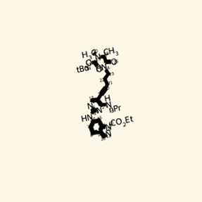 CCCNc1nc(Nc2ccc3cnn(C(=O)OCC)c3c2)ncc1C#CCCCNC(=O)[C@H](C)N(C)C(=O)OC(C)(C)C